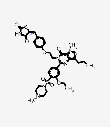 CCCc1nn(C)c2c(=O)n(CCOc3ccc(/C=C4/SC(=O)NC4=O)cc3)c(-c3ccc(S(=O)(=O)N4CCN(C)CC4)c(OCC)c3)nc12